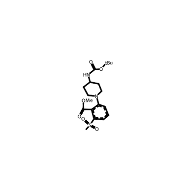 COC(=O)c1c(N2CCC(NC(=O)OC(C)(C)C)CC2)cccc1S(C)(=O)=O